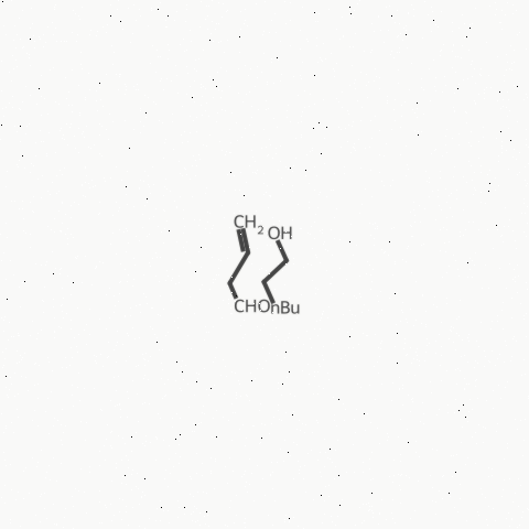 C=CCC=O.CCCCCCO